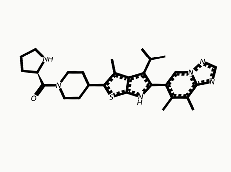 Cc1c(-c2[nH]c3sc(C4CCN(C(=O)[C@H]5CCCN5)CC4)c(C)c3c2C(C)C)cn2ncnc2c1C